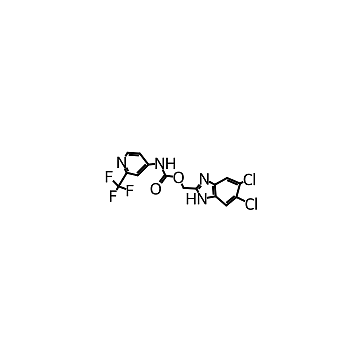 O=C(Nc1ccnc(C(F)(F)F)c1)OCc1nc2cc(Cl)c(Cl)cc2[nH]1